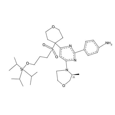 CC(C)[Si](OCCCS(=O)(=O)C1(c2cc(N3CCOC[C@@H]3C)nc(-c3ccc(N)cc3)n2)CCOCC1)(C(C)C)C(C)C